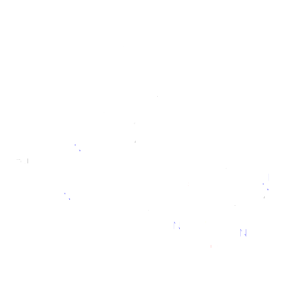 CN1C=CNC1(C)S(=O)(=O)N(C)c1ccc2c(c1)nc(C(C)(C)C)n2CC1CCCCC1